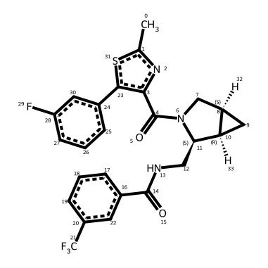 Cc1nc(C(=O)N2C[C@H]3C[C@H]3[C@H]2CNC(=O)c2cccc(C(F)(F)F)c2)c(-c2cccc(F)c2)s1